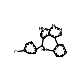 Clc1ccc(C2Nc3ccccc3-c3cnnc4[nH]cc2c34)cc1